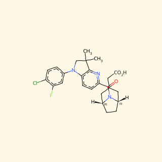 CC1(C)CN(c2ccc(Cl)c(F)c2)c2ccc(C(=O)N3[C@@H]4CC[C@H]3CC(CC(=O)O)C4)nc21